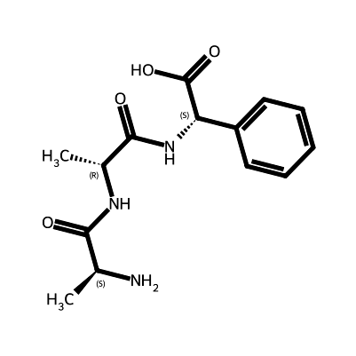 C[C@H](N)C(=O)N[C@H](C)C(=O)N[C@H](C(=O)O)c1ccccc1